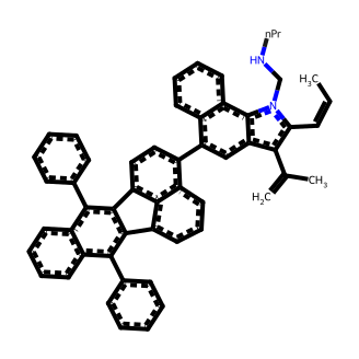 C=C(C)c1c(/C=C\C)n(CNCCC)c2c1cc(-c1ccc3c4c(cccc14)-c1c-3c(-c3ccccc3)c3ccccc3c1-c1ccccc1)c1ccccc12